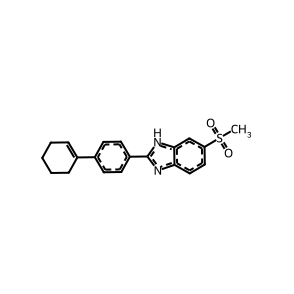 CS(=O)(=O)c1ccc2nc(-c3ccc(C4=CCCCC4)cc3)[nH]c2c1